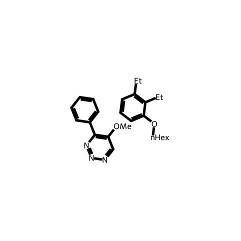 CCCCCCOc1cccc(CC)c1CC.COc1cnnnc1-c1ccccc1